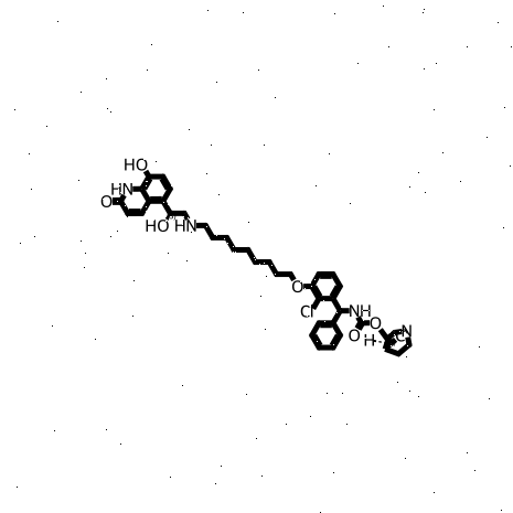 O=C(NC(c1ccccc1)c1cccc(OCCCCCCCCCNC[C@@H](O)c2ccc(O)c3[nH]c(=O)ccc23)c1Cl)O[C@H]1CN2CCC1CC2